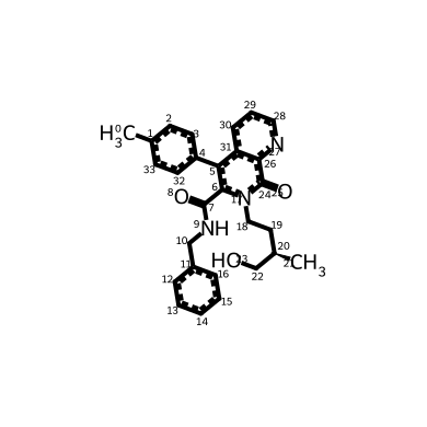 Cc1ccc(-c2c(C(=O)NCc3ccccc3)n(CC[C@@H](C)CO)c(=O)c3ncccc23)cc1